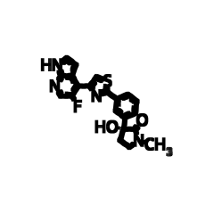 CN1CC[C@@](O)(c2cccc(-c3nc(-c4c(F)cnc5[nH]ccc45)cs3)c2)C1=O